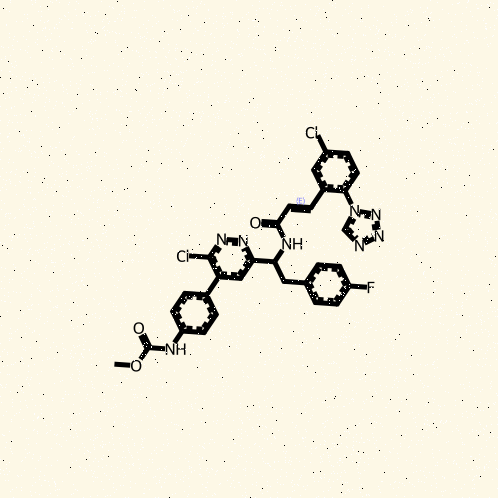 COC(=O)Nc1ccc(-c2cc(C(Cc3ccc(F)cc3)NC(=O)/C=C/c3cc(Cl)ccc3-n3cnnn3)nnc2Cl)cc1